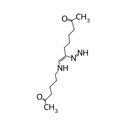 CC(=O)CCCCN/C=C(/CCCCC(C)=O)N=N